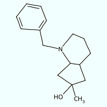 CC1(O)CC2CCCN(Cc3ccccc3)C2C1